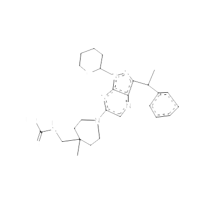 CC(c1ccccc1)c1nn(C2CCCCO2)c2nc(N3CCC(C)(CNC(=O)O)CC3)cnc12